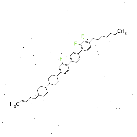 C/C=C/CCC1CCC(C2CCC(c3ccc(-c4ccc(-c5ccc(CCCCCCC)c(F)c5F)cc4)c(F)c3)CC2)CC1